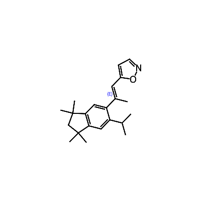 C/C(=C\c1ccno1)c1cc2c(cc1C(C)C)C(C)(C)CC2(C)C